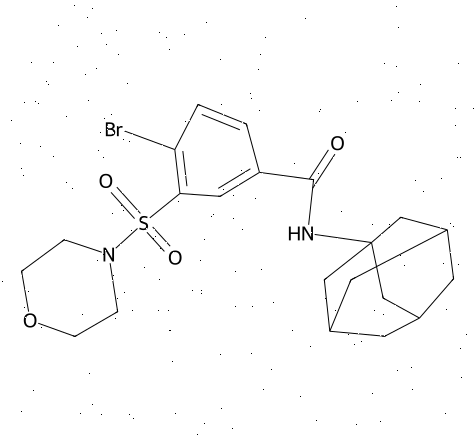 O=C(NC12CC3CC(CC(C3)C1)C2)c1ccc(Br)c(S(=O)(=O)N2CCOCC2)c1